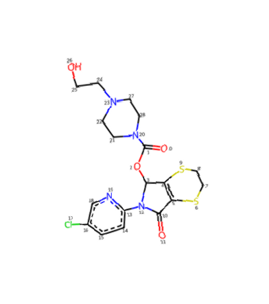 O=C(OC1C2=C(SCCS2)C(=O)N1c1ccc(Cl)cn1)N1CCN(CCO)CC1